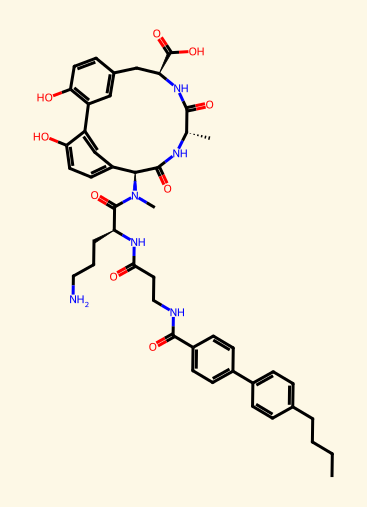 CCCCc1ccc(-c2ccc(C(=O)NCCC(=O)N[C@@H](CCCN)C(=O)N(C)[C@@H]3C(=O)N[C@@H](C)C(=O)N[C@H](C(=O)O)Cc4ccc(O)c(c4)-c4cc3ccc4O)cc2)cc1